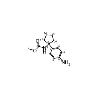 COC(=O)NC1(c2ccc(N)cc2)CCCC1